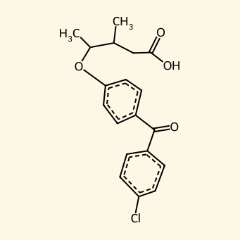 CC(CC(=O)O)C(C)Oc1ccc(C(=O)c2ccc(Cl)cc2)cc1